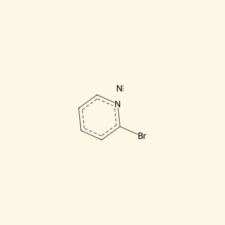 Brc1ccccn1.[N]